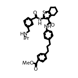 COC(=O)c1ccc(CCCc2ccc(NC(=O)c3c(NC(=O)c4cccc(CNC(C)C)c4)sc4c3CCCC4)cc2)cc1